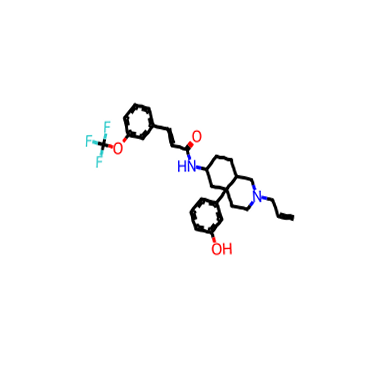 C=CCN1CCC2(c3cccc(O)c3)CC(NC(=O)/C=C/c3cccc(OC(F)(F)F)c3)CCC2C1